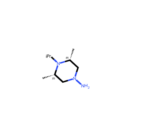 CC(C)N1[C@H](C)CN(N)C[C@@H]1C